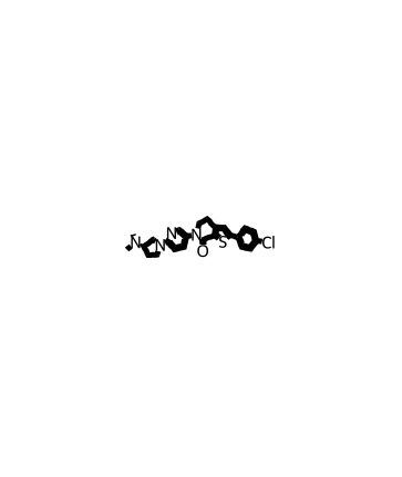 CN(C)[C@@H]1CCN(c2ccc(N3CCc4cc(-c5ccc(Cl)cc5)sc4C3=O)cn2)C1